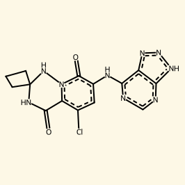 O=C1NC2(CCC2)Nn2c1c(Cl)cc(Nc1ncnc3[nH]nnc13)c2=O